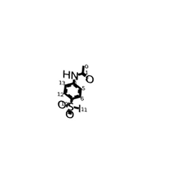 CC(=O)Nc1ccc(S(=O)(=O)I)cc1